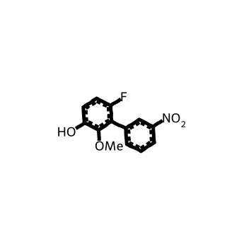 COc1c(O)ccc(F)c1-c1cccc([N+](=O)[O-])c1